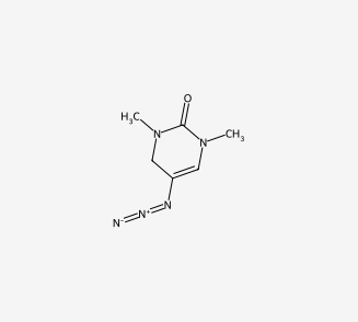 CN1C=C(N=[N+]=[N-])CN(C)C1=O